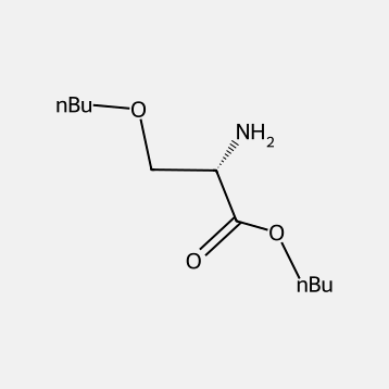 CCCCOC[C@H](N)C(=O)OCCCC